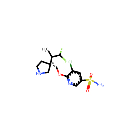 CC(C(F)F)[C@]1(COc2ncc(S(N)(=O)=O)cc2Cl)CCNC1